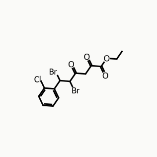 CCOC(=O)C(=O)CC(=O)C(Br)C(Br)c1ccccc1Cl